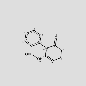 O=C1CCC=CN1c1ccccc1.O=CO